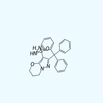 N=S(N)(=O)c1c(C(c2ccccc2)(c2ccccc2)c2ccccc2)nn2c1OCCC2